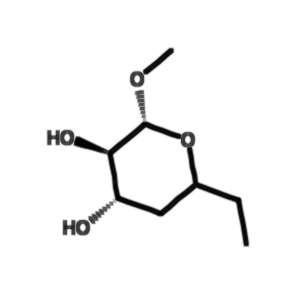 CCC1C[C@H](O)[C@@H](O)[C@H](OC)O1